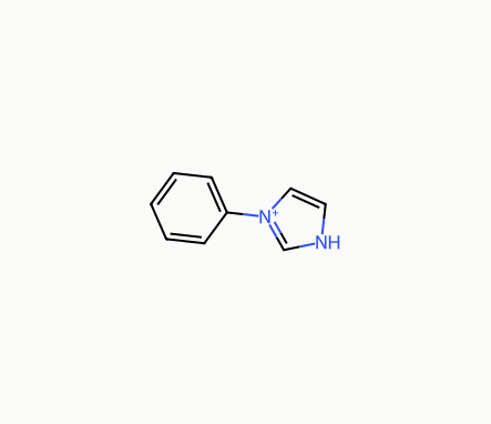 c1ccc(-[n+]2cc[nH]c2)cc1